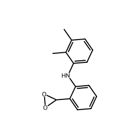 Cc1cccc(Nc2ccccc2C2OO2)c1C